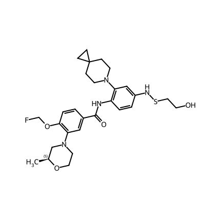 C[C@H]1CN(c2cc(C(=O)Nc3ccc(NSCCO)cc3N3CCC4(CC3)CC4)ccc2OCF)CCO1